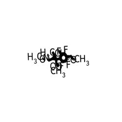 COCc1c(F)c(F)c(C2(C(=O)OC)C(C=NOC)C2(C)C)c(F)c1F